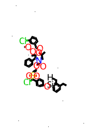 CCc1cccc([SiH2]Oc2ccc(C(Cl)S(=O)(=O)C=COC(=O)N3CC(C)OC(C)(OC(=O)c4cccc(Cl)c4OC)C3c3ccccc3)cc2)c1CC